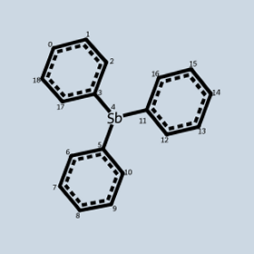 c1cc[c]([Sb]([c]2ccccc2)[c]2ccccc2)cc1